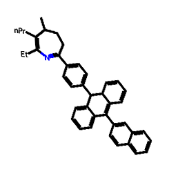 CCCC1=C(CC)N=C(c2ccc(C3c4ccccc4C(c4ccc5ccccc5c4)=C4C=CC=CC43)cc2)CCC1C